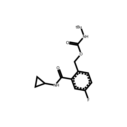 CC(C)(C)NC(=O)OCc1ccc(F)cc1C(=O)NC1CC1